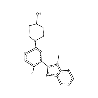 Cn1c(-c2cc(N3CCC(O)CC3)ncc2Cl)nc2cccnc21